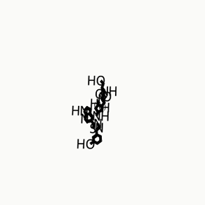 O=S(=O)(NCCO)N1C[C@H]2CC(Nc3c(-c4nnc(C5=CC(O)CCC5)s4)cnc4[nH]ccc34)C[C@H]2C1